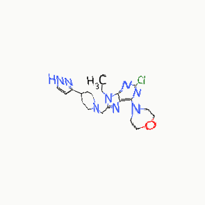 CCn1c(CN2CCC(c3cc[nH]n3)CC2)nc2c(N3CCOCC3)nc(Cl)nc21